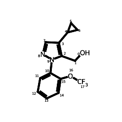 OCc1c(C2CC2)cnn1-c1ccccc1OC(F)(F)F